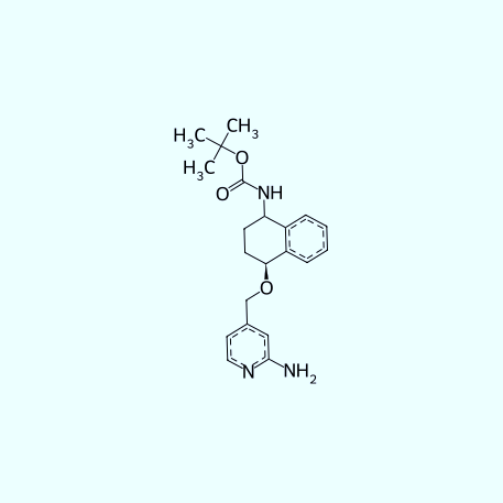 CC(C)(C)OC(=O)NC1CC[C@H](OCc2ccnc(N)c2)c2ccccc21